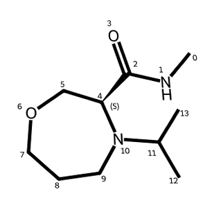 CNC(=O)[C@@H]1COCCCN1C(C)C